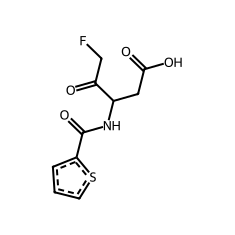 O=C(O)CC(NC(=O)c1cccs1)C(=O)CF